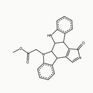 COC(=O)CN1c2ccccc2C2C3=C(C(=O)N=C3)C3c4ccccc4NC3C21